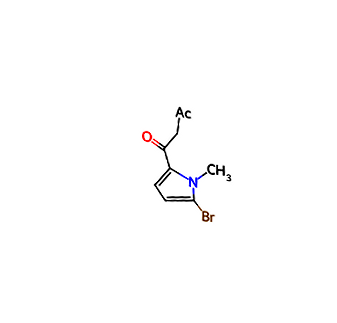 CC(=O)CC(=O)c1ccc(Br)n1C